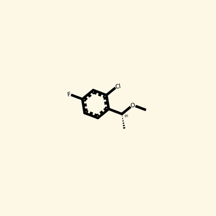 CO[C@H](C)c1ccc(F)cc1Cl